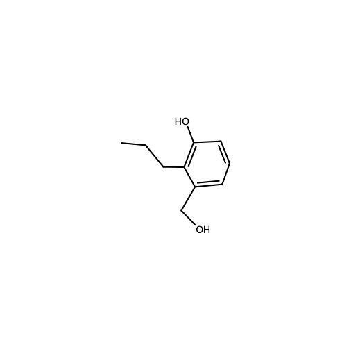 CCCc1c(O)cccc1CO